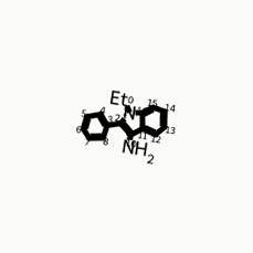 CCn1c(-c2ccccc2)c(N)c2ccccc21